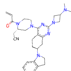 C=CC(=O)N1CCN(c2nc(N3CC(N(C)C)C3)nc3c2CCC(N2CCc4ccccc42)C3)C[C@@H]1CC#N